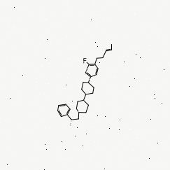 C/C=C/CCc1ccc(C2CCC(C3CCC(C[C@H](C)c4ccccc4)CC3)CC2)cc1F